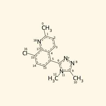 Cc1ccc2c(-c3nnc(C)n3C)ccc(Cl)c2n1